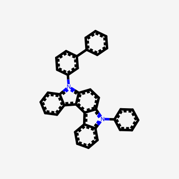 c1ccc(-c2cccc(-n3c4ccccc4c4c5c6ccccc6n(-c6ccccc6)c5ccc43)c2)cc1